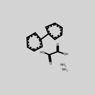 N.N.O=C(O)C(=O)O.c1ccc(-c2ccccc2)cc1